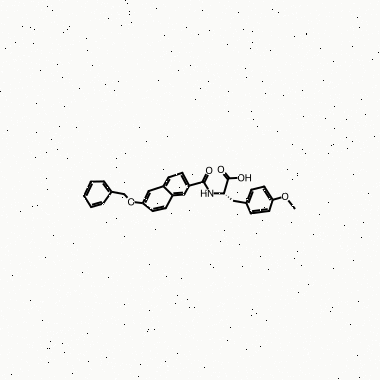 COc1ccc(C[C@H](NC(=O)c2ccc3cc(OCc4ccccc4)ccc3c2)C(=O)O)cc1